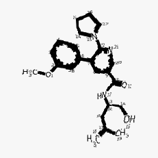 COc1cccc(-c2cc(C(=O)N[C@@H](CO)CC(C)C)cnc2N2CCCC2)c1